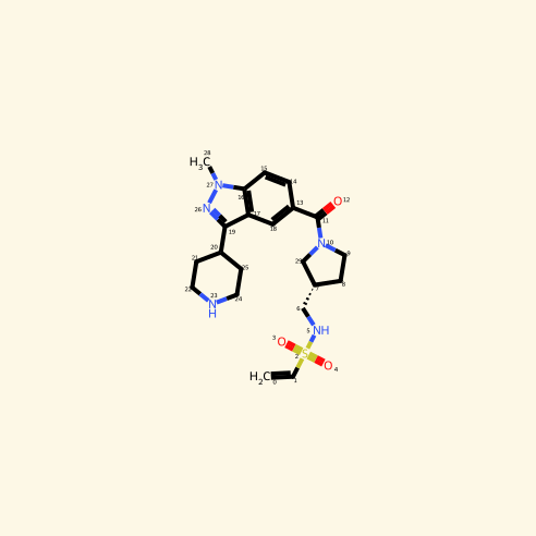 C=CS(=O)(=O)NC[C@H]1CCN(C(=O)c2ccc3c(c2)c(C2CCNCC2)nn3C)C1